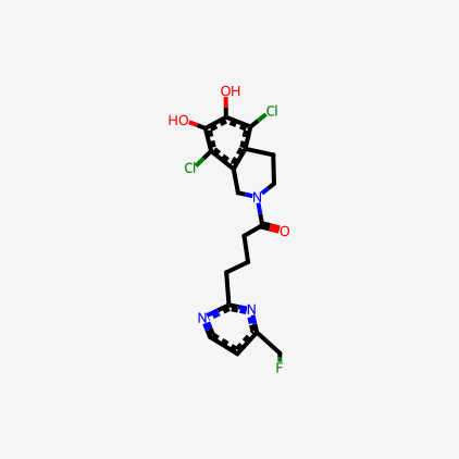 O=C(CCCc1nccc(CF)n1)N1CCc2c(Cl)c(O)c(O)c(Cl)c2C1